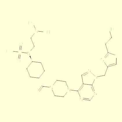 CCCc1nc(Cn2ncc3c(N4CCN(C(=O)[C@H]5CC[C@H](N(CCN(C)C)S(C)(=O)=O)CC5)CC4)ncnc32)cs1